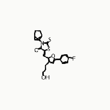 O=C1/C(=C/c2oc(-c3ccc(F)cc3)cc2CCCO)SC(=S)N1C1CC2CCC1C2